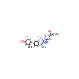 CCc1cc(O)c(F)cc1-c1ccc(C(=N)c2nc3c([nH]2)CN(C(=O)OC)C3)c(N)c1